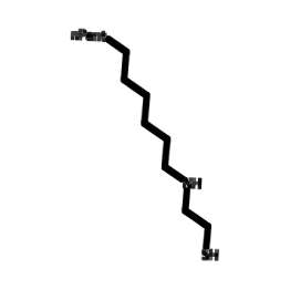 CCCCCCCCCCCNCCS